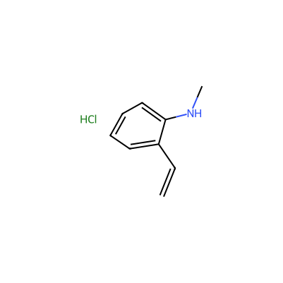 C=Cc1ccccc1NC.Cl